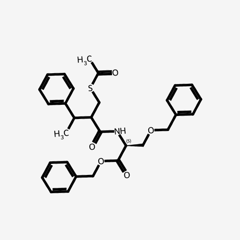 CC(=O)SCC(C(=O)N[C@@H](COCc1ccccc1)C(=O)OCc1ccccc1)C(C)c1ccccc1